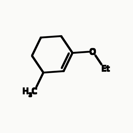 CCOC1=CC(C)CCC1